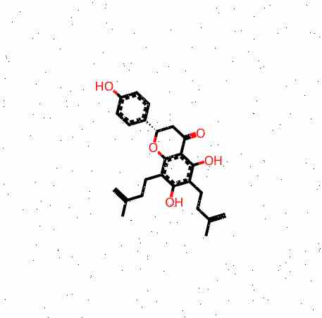 C=C(C)CCc1c(O)c(CCC(=C)C)c2c(c1O)C(=O)C[C@@H](c1ccc(O)cc1)O2